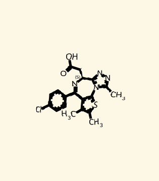 Cc1sc2c(c1C)C(c1ccc(Cl)cc1)=N[C@@H](CC(=O)O)c1nnc(C)n1-2